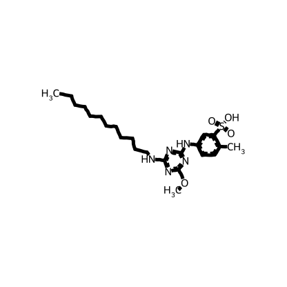 CCCCCCCCCCCCNc1nc(Nc2ccc(C)c(S(=O)(=O)O)c2)nc(OC)n1